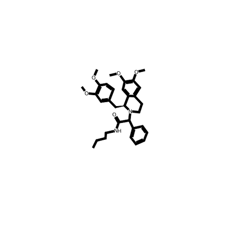 CCCCNC(=O)C(c1ccccc1)N1CCc2cc(OC)c(OC)cc2[C@@H]1Cc1ccc(OC)c(OC)c1